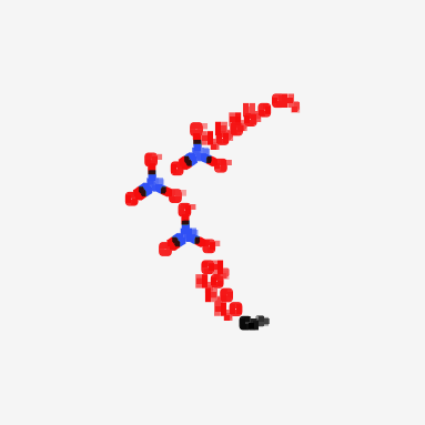 O.O.O.O.O.O.O.O.O.O=[N+]([O-])[O-].O=[N+]([O-])[O-].O=[N+]([O-])[O-].[Ga+3]